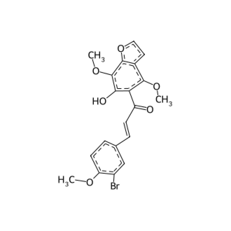 COc1ccc(C=CC(=O)c2c(O)c(OC)c3occc3c2OC)cc1Br